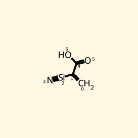 C=C([Si]#N)C(=O)O